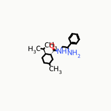 CC1CC[C@@H](C(C)C)[C@H](C(=O)NCC(N)c2ccccc2)C1